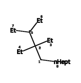 CCCCCCCCC(CC)(CC)[C](CC)CC